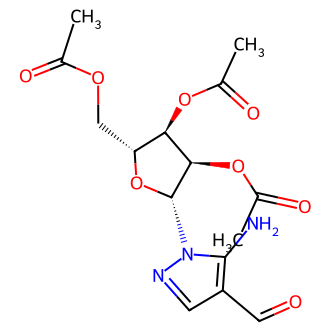 CC(=O)OC[C@H]1O[C@@H](n2ncc(C=O)c2N)[C@H](OC(C)=O)[C@@H]1OC(C)=O